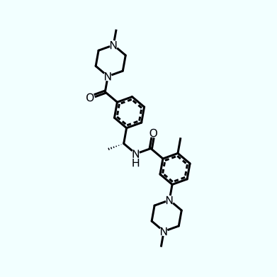 Cc1ccc(N2CCN(C)CC2)cc1C(=O)N[C@H](C)c1cccc(C(=O)N2CCN(C)CC2)c1